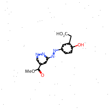 COC(=O)c1cnnc(/N=N/c2ccc(O)c(CC(=O)O)c2)c1